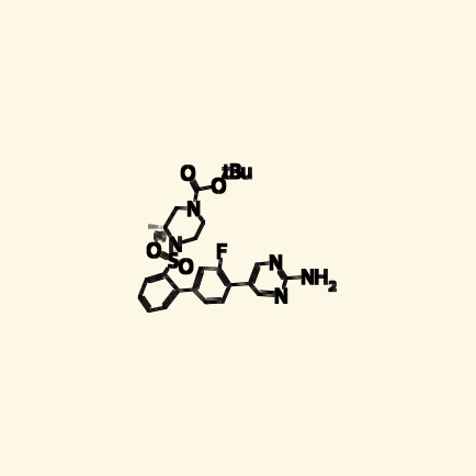 C[C@@H]1CN(C(=O)OC(C)(C)C)CCN1S(=O)(=O)c1ccccc1-c1ccc(-c2cnc(N)nc2)c(F)c1